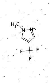 CN1C=C(C(F)(F)F)C=[N+]1